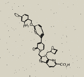 O=C(O)c1ccc2nc(Cn3ccc(-c4cccc(OCc5ccc(Cl)cc5P)n4)cc3=O)n(CC3CCO3)c2n1